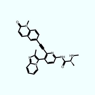 CN[C@@H](C)C(=O)Nc1ccc(-c2c(C)nc3ccccn23)c(C#Cc2ccc3c(ccc(=O)n3C)c2)n1